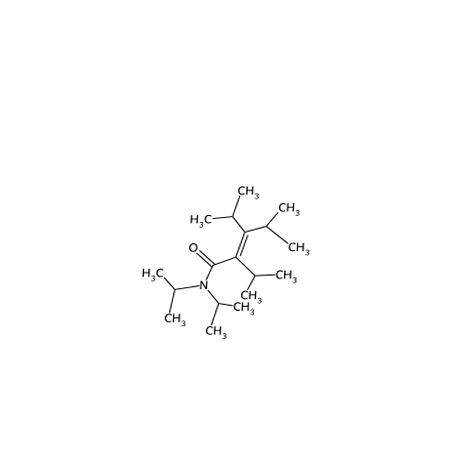 CC(C)C(C(=O)N(C(C)C)C(C)C)=C(C(C)C)C(C)C